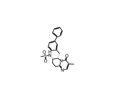 Cc1cnc2n(c1=O)[C@@H](Cc1cccc(-c3ccccc3)c1)[C@@H](NS(C)(=O)=O)CC2